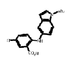 CCCCn1ccc2cc(Nc3ccc(Cl)cc3C(=O)O)ccc21